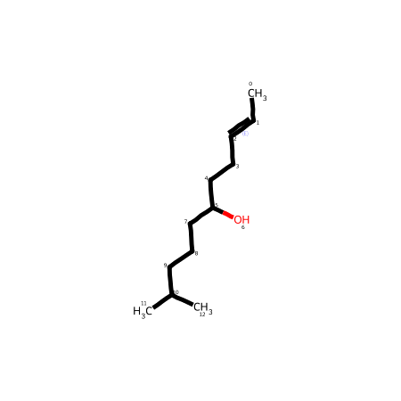 C/C=C/CCC(O)CCCC(C)C